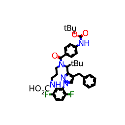 CC(C)(C)OC(=O)Nc1ccc(C(=O)N(CCCNC(=O)O)C(c2nn(-c3cc(F)ccc3F)cc2Cc2ccccc2)C(C)(C)C)cc1